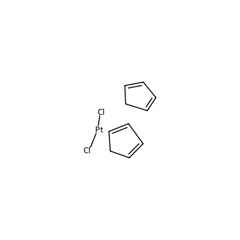 C1=CCC=C1.C1=CCC=C1.[Cl][Pt][Cl]